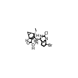 CC[C@@]12CC[C@@H](C3CC31)[C@H](C(=O)O)[C@@H]2Nc1nc(Cl)nn2c(Br)ccc12